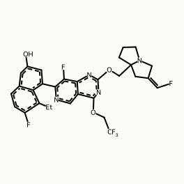 CCc1c(F)ccc2cc(O)cc(-c3ncc4c(OCC(F)(F)F)nc(OCC56CCCN5C/C(=C\F)C6)nc4c3F)c12